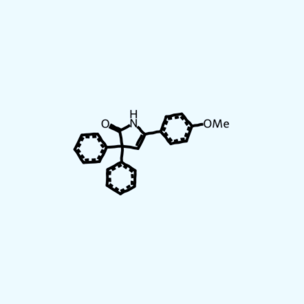 COc1ccc(C2=CC(c3ccccc3)(c3ccccc3)C(=O)N2)cc1